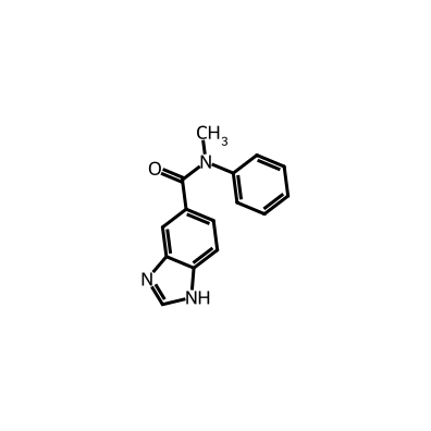 CN(C(=O)c1ccc2[nH]cnc2c1)c1ccccc1